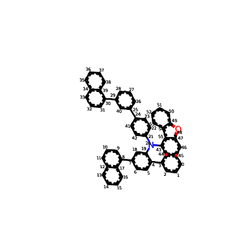 c1ccc(-c2ccc(-c3cccc4ccccc34)cc2N(c2ccc(-c3cccc(-c4cccc5ccccc45)c3)cc2)c2cccc3oc4ccccc4c23)cc1